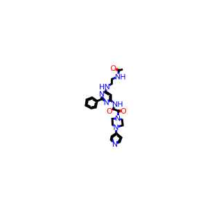 CC(=O)NCCNc1cc(NC(=O)C(=O)N2CCN(c3ccncc3)CC2)nc(-c2ccccc2)n1